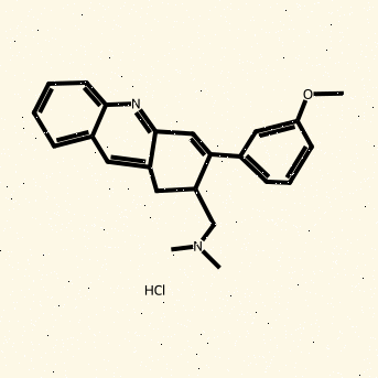 COc1cccc(C2=Cc3nc4ccccc4cc3CC2CN(C)C)c1.Cl